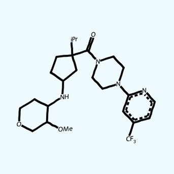 COC1COCCC1NC1CCC(C(=O)N2CCN(c3cc(C(F)(F)F)ccn3)CC2)(C(C)C)C1